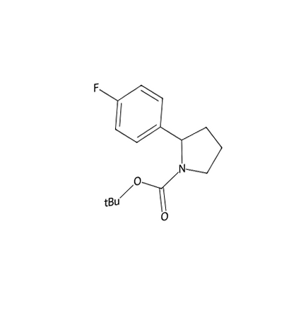 CC(C)(C)OC(=O)N1CCCC1c1ccc(F)cc1